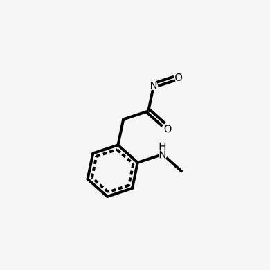 CNc1ccccc1CC(=O)N=O